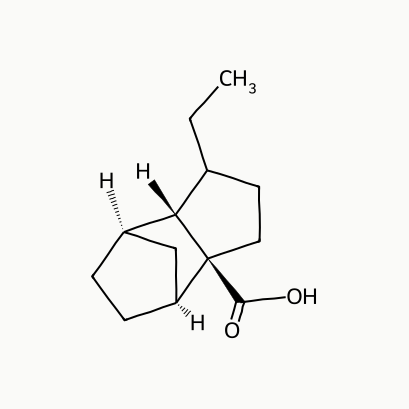 CCC1CC[C@]2(C(=O)O)[C@H]3CC[C@H](C3)[C@H]12